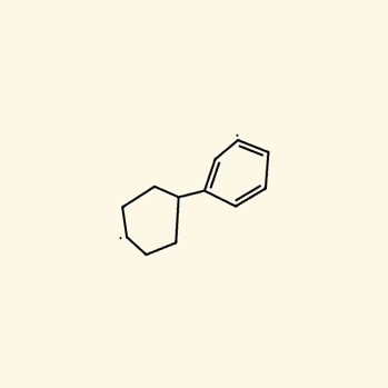 [c]1cccc(C2CC[CH]CC2)c1